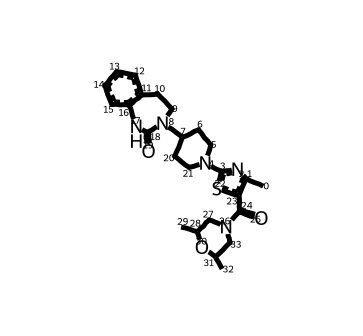 Cc1nc(N2CCC(N3CCc4ccccc4NC3=O)CC2)sc1C(=O)N1CC(C)OC(C)C1